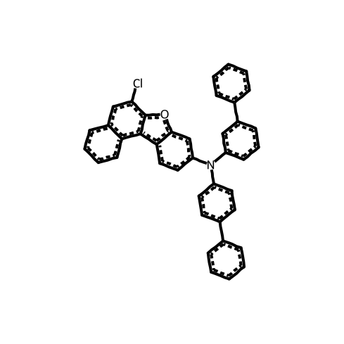 Clc1cc2ccccc2c2c1oc1cc(N(c3ccc(-c4ccccc4)cc3)c3cccc(-c4ccccc4)c3)ccc12